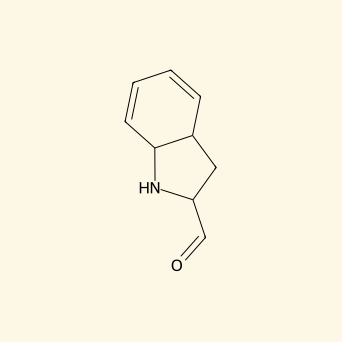 O=CC1CC2C=CC=CC2N1